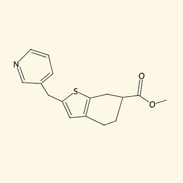 COC(=O)C1CCc2cc(Cc3cccnc3)sc2C1